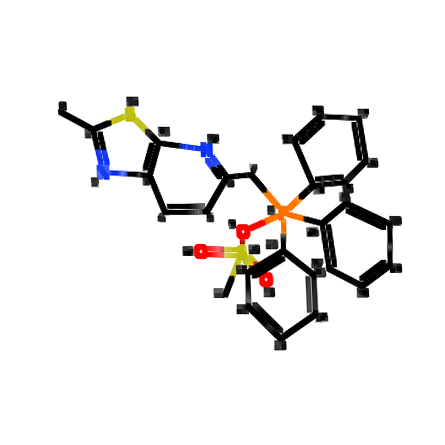 Cc1nc2ccc(CP(OS(C)(=O)=O)(c3ccccc3)(c3ccccc3)c3ccccc3)nc2s1